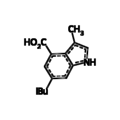 CCC(C)c1cc(C(=O)O)c2c(C)c[nH]c2c1